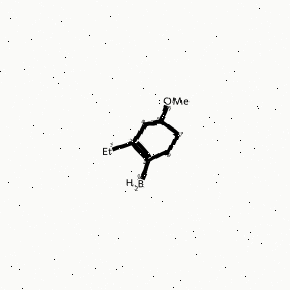 BC1=C(CC)CC(OC)CC1